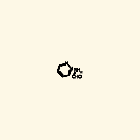 NC=O.c1ccnnc1